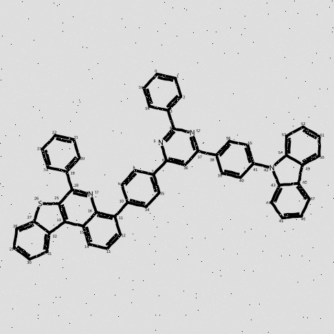 c1ccc(-c2nc(-c3ccc(-c4cccc5c4nc(-c4ccccc4)c4sc6ccccc6c45)cc3)cc(-c3ccc(-n4c5ccccc5c5ccccc54)cc3)n2)cc1